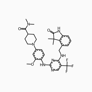 COc1cc(N2CCC(C(=O)N(C)C)CC2)ccc1Nc1ncc(C(F)(F)F)c(NCc2cccc3c2C(C)(C)C(=O)N3)n1